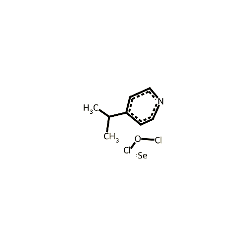 CC(C)c1ccncc1.ClOCl.[Se]